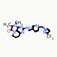 C[C@H]1C(=O)N2CCCc3nc(NCc4ccc(Cn5ccc(C(F)(F)F)n5)nc4)nc(c32)N1C